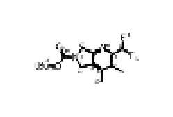 Cc1c(C(F)F)nc2c(c1C)CN(C(=O)OC(C)(C)C)C2